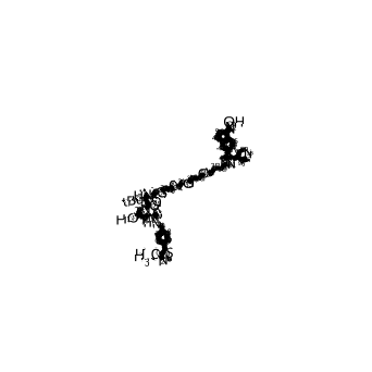 Cc1ncsc1-c1ccc(CNC(=O)[C@@H]2C[C@@H](O)CN2C(=O)C(NC(=O)COCCOCCOCCOCCCn2cc(-c3ccc4c(c3)CC/C4=N\O)c(-c3ccncc3)n2)C(C)(C)C)cc1